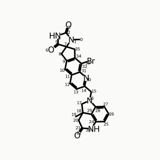 CN1C(=O)NC(=O)C12Cc1cc3ccc(CN4CC5(C)CC(=O)Nc6cccc4c65)nc3c(Br)c1C2